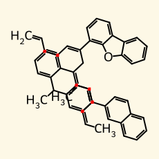 C=C/C=C\C=C(/C\C(=C(C)/C=C\C=C/C)c1ccccc1C(C)c1ccc(-c2ccc3ccccc3c2)cc1)c1cccc2c1oc1ccccc12